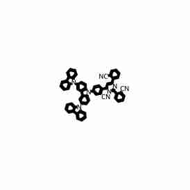 N#Cc1ccccc1-c1cc(-c2ccc(-n3c4ccc(-n5c6ccccc6c6ccccc65)cc4c4cc(-n5c6ccccc6c6ccccc65)ccc43)cc2C#N)nc(-c2ccccc2C#N)n1